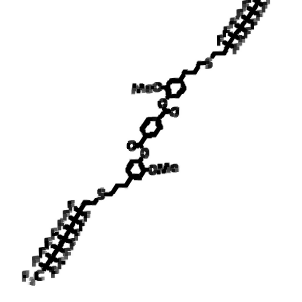 COc1cc(CCCSCCC(F)(F)C(F)(F)C(F)(F)C(F)(F)C(F)(F)C(F)(F)C(F)(F)C(F)(F)F)ccc1OC(=O)c1ccc(C(=O)Oc2ccc(CCCSCCC(F)(F)C(F)(F)C(F)(F)C(F)(F)C(F)(F)C(F)(F)C(F)(F)C(F)(F)F)cc2OC)cc1